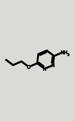 CCCOc1ccc(N)nn1